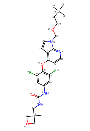 CC1(CNC(=O)Nc2cc(F)c(Oc3ccnc4c3ccn4COCC[Si](C)(C)C)c(F)c2)COC1